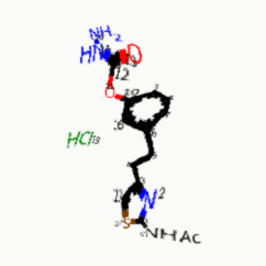 CC(=O)Nc1nc(CCc2cccc(OC(=O)NN)c2)cs1.Cl